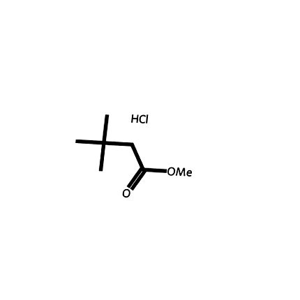 COC(=O)CC(C)(C)C.Cl